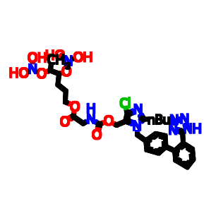 CCCCc1nc(Cl)c(COC(=O)NCC(=O)OCCCC(ON(O)O)C(C)ON(O)O)n1Cc1ccc(-c2ccccc2-c2nnn[nH]2)cc1